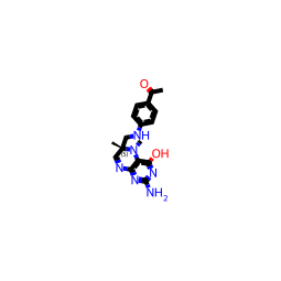 CC(=O)c1ccc(NC[C@@]2(C)C=Nc3nc(N)nc(O)c3N2C)cc1